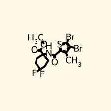 COC(=O)C1(NC(=O)c2sc(Br)c(Br)c2C)CCC(F)(F)CC1